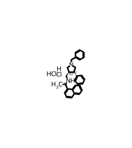 C[C@@H](NC[C@H]1CN(Cc2ccccc2)C[C@@H]1c1ccccc1)c1cccc2ccccc12.Cl.Cl